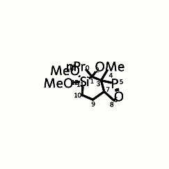 CCCC1(OC)C(C)(P=O)C(C)CC[Si]1(OC)OC